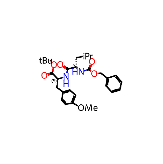 COc1ccc(C[C@H](NC(=O)[C@H](CC(C)C)NC(=O)OCc2ccccc2)C(=O)OC(C)(C)C)cc1